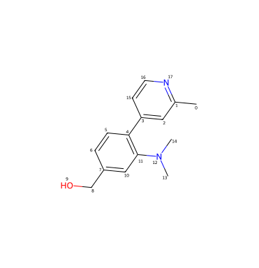 Cc1cc(-c2ccc(CO)cc2N(C)C)ccn1